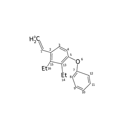 C=Cc1ccc(Oc2ccccc2)c(CC)c1CC